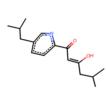 CC(C)C/C(O)=C/C(=O)c1ccc(CC(C)C)cn1